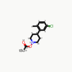 Cc1ccc(Cl)cc1C1CCN(OC(=O)C(C)(C)C)CC1